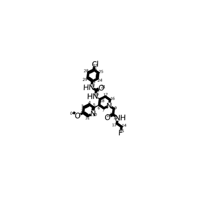 COc1ccc([C@@H]2CN(CC(=O)NCCF)CC[C@H]2NC(=O)Nc2ccc(Cl)cc2)nc1